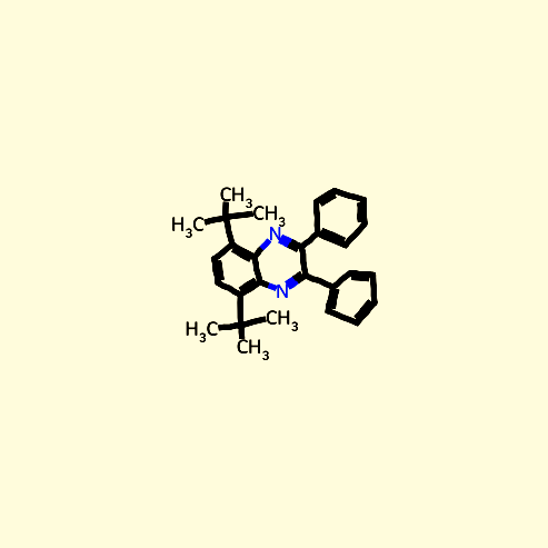 CC(C)(C)c1ccc(C(C)(C)C)c2nc(-c3ccccc3)c(-c3ccccc3)nc12